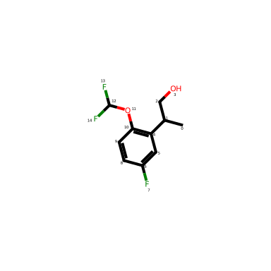 C[C](CO)c1cc(F)ccc1OC(F)F